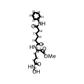 COC1OC1[C@@H](CCCC(=O)NO)NC(=O)CCCCC(=O)Nc1ccccc1